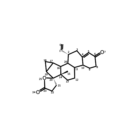 C=C[C@@H]1CC2=CC(=O)CCC2C2CC[C@@]3(C)C(C4CC4[C@@]34CCC(=O)O4)C21